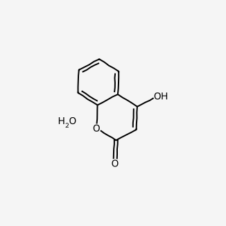 O.O=c1cc(O)c2ccccc2o1